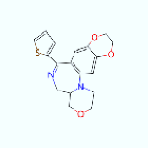 c1csc(C2=NCC3COCCN3c3cc4c(cc32)OCCO4)c1